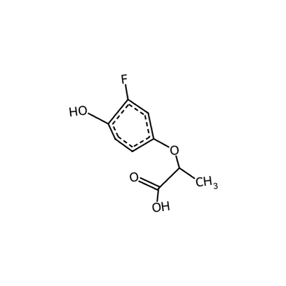 CC(Oc1ccc(O)c(F)c1)C(=O)O